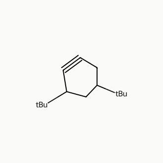 CC(C)(C)C1C#CCC(C(C)(C)C)C1